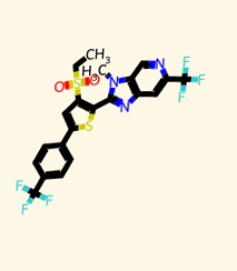 CCS(=O)(=O)c1cc(-c2ccc(C(F)(F)F)cc2)sc1-c1nc2cc(C(F)(F)F)ncc2n1C